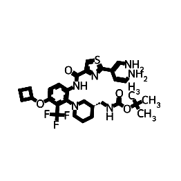 CC(C)(C)OC(=O)NC[C@@H]1CCCN(c2c(NC(=O)c3csc(C(/C=C\N)=C/N)n3)ccc(OC3CCC3)c2C(F)(F)F)C1